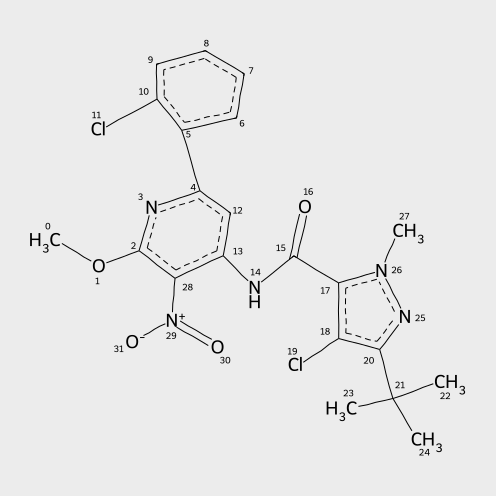 COc1nc(-c2ccccc2Cl)cc(NC(=O)c2c(Cl)c(C(C)(C)C)nn2C)c1[N+](=O)[O-]